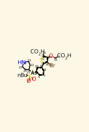 CCCCS(=O)(=O)[As](c1cccc(-c2sc(C(=O)O)c(OCC(=O)O)c2Br)c1)C1CCNCC1